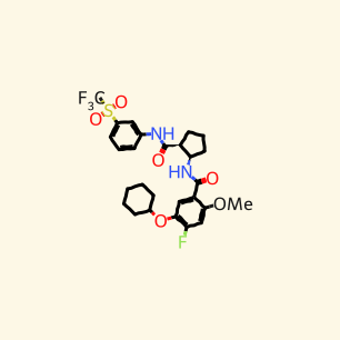 COc1cc(F)c(OC2CCCCC2)cc1C(=O)N[C@@H]1CCC[C@@H]1C(=O)Nc1cccc(S(=O)(=O)C(F)(F)F)c1